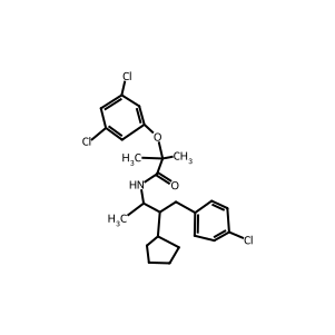 CC(NC(=O)C(C)(C)Oc1cc(Cl)cc(Cl)c1)C(Cc1ccc(Cl)cc1)C1CCCC1